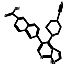 N#CC1CCN(c2c(-c3ccc4cc(C(=O)O)ccc4c3)cnc3[nH]ccc23)CC1